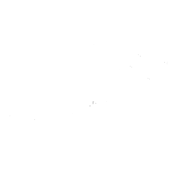 COC(=O)c1ccc2c(c1)CC[C@@H]2NC(=O)c1cc(C(=O)OC)n2nc(N)nc2c1